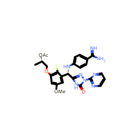 COc1cc(OC[C@H](C)OC(C)=O)c(F)c([C@H](Nc2ccc(C(=N)N)cc2)c2nn(-c3ncccn3)c(=O)[nH]2)c1